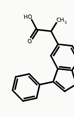 CC(C(=O)O)c1ccc2occ(-c3ccccc3)c2c1